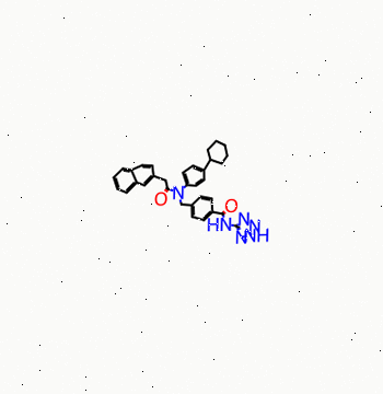 O=C(Nc1nn[nH]n1)c1ccc(CN(C(=O)Cc2ccc3ccccc3c2)c2ccc(C3CCCCC3)cc2)cc1